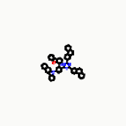 c1ccc2cc3c(cc2c1)c1ccccc1n3-c1ccc(C2N=C(c3ccc4c(ccc5ccccc54)c3)N=C(c3ccc4c(ccc5ccccc54)c3)N2)c(-c2cccc3c2oc2ccccc23)c1